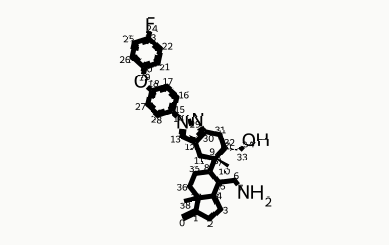 C=C1CCC2C(CN)C([C@]3(C)Cc4cn(-c5ccc(Oc6ccc(F)cc6)cc5)nc4C[C@@H]3CO)CCC12C